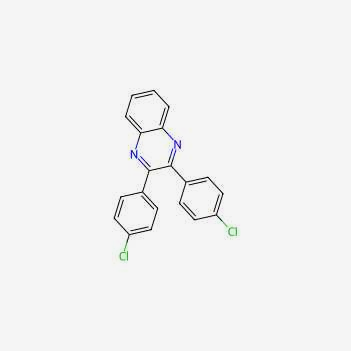 Clc1ccc(-c2nc3ccccc3nc2-c2ccc(Cl)cc2)cc1